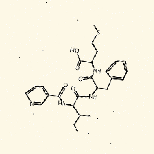 CCC(C)C(NC(=O)c1cccnc1)C(=O)NC(Cc1ccccc1)C(=O)NC(CCSC)C(=O)O